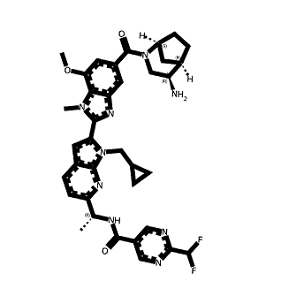 COc1cc(C(=O)N2C[C@H](N)[C@@H]3CC[C@H]2C3)cc2nc(-c3cc4ccc([C@@H](C)NC(=O)c5cnc(C(F)F)nc5)nc4n3CC3CC3)n(C)c12